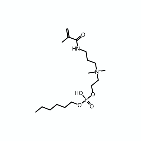 C=C(C)C(=O)NCCC[N+](C)(C)CCOP(=O)(O)OCCCCCC